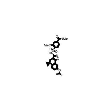 CNC(=O)c1ccc(S(=O)(=O)Nc2noc3c2CC2(CC2)c2ccc(OC(F)F)cc2-3)c(OC)c1